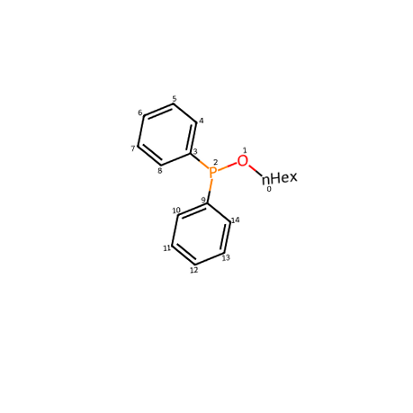 CCCCCCOP(c1ccccc1)c1ccccc1